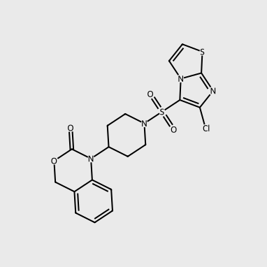 O=C1OCc2ccccc2N1C1CCN(S(=O)(=O)c2c(Cl)nc3sccn23)CC1